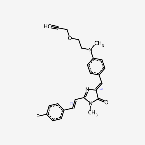 C#CCOCCN(C)c1ccc(/C=C2N=C(/C=C/c3ccc(F)cc3)N(C)C\2=O)cc1